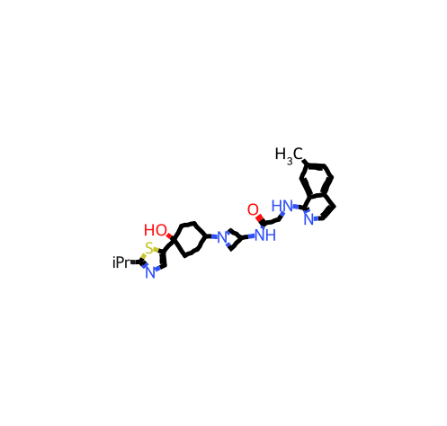 Cc1ccc2ccnc(NCC(=O)NC3CN(C4CCC(O)(c5cnc(C(C)C)s5)CC4)C3)c2c1